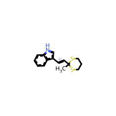 CC1(/C=C/c2c[nH]c3ccccc23)SCCCS1